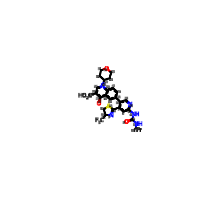 CCCNC(=O)Nc1cc(C2=NC(C(F)(F)F)CS2)c(-c2ccc3c(c2)c(=O)c(C(=O)O)cn3C2CCOCC2)cn1